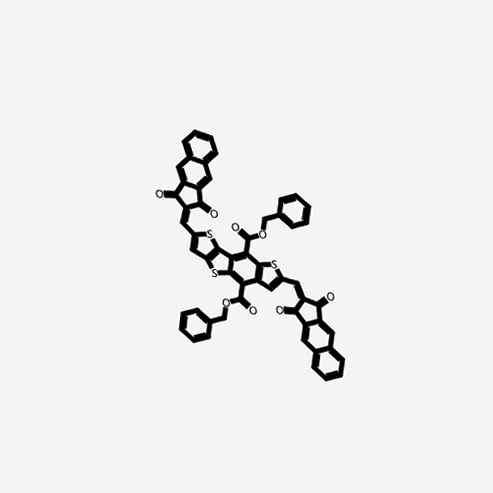 O=C1C(=Cc2cc3c(C(=O)OCc4ccccc4)c4sc5cc(C=C6C(=O)c7cc8ccccc8cc7C6=O)sc5c4c(C(=O)OCc4ccccc4)c3s2)C(=O)c2cc3ccccc3cc21